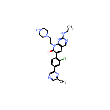 CCNc1ncc2cc(-c3ccc(-c4cncc(C)n4)cc3Cl)c(=O)n(CCN3CCNCC3)c2n1